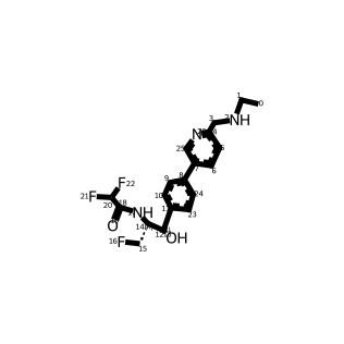 CCNCc1ccc(-c2ccc([C@@H](O)[C@H](CF)NC(=O)C(F)F)cc2)cn1